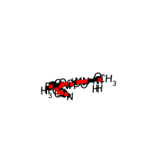 CNC(=O)NCCCCNC(=O)NCCOCCOCCNC(=O)c1cc([S+]([O-])c2ccc(C#N)cc2)c(C)n(-c2cccc(C(F)(F)F)c2)c1=O